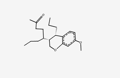 CCCC(CCC(C)=O)[C@H]1COc2cc(OC)ccc2[C@H]1CCC